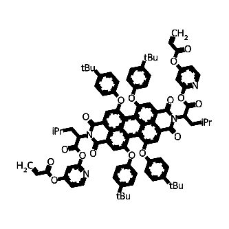 C=CC(=O)Oc1ccnc(OC(=O)C(CC(C)C)N2C(=O)c3cc(Oc4ccc(C(C)(C)C)cc4)c4c5c(Oc6ccc(C(C)(C)C)cc6)cc6c7c(cc(Oc8ccc(C(C)(C)C)cc8)c(c8c(Oc9ccc(C(C)(C)C)cc9)cc(c3c48)C2=O)c75)C(=O)N(C(CC(C)C)C(=O)Oc2cc(OC(=O)C=C)ccn2)C6=O)c1